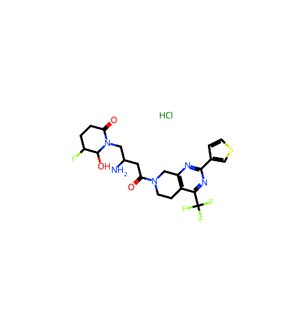 Cl.NC(CC(=O)N1CCc2c(nc(-c3ccsc3)nc2C(F)(F)F)C1)CN1C(=O)CCC(F)C1O